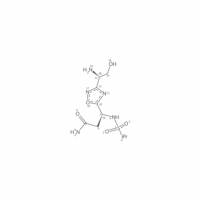 CC(C)S(=O)(=O)N[C@@H](CC(N)=O)c1nc([C@@H](N)CO)no1